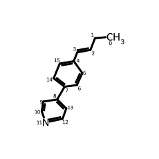 CCC=Cc1ccc(-c2ccncc2)cc1